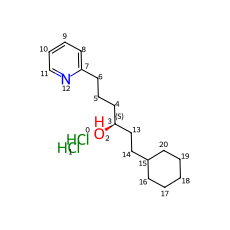 Cl.Cl.O[C@@H](CCCc1ccccn1)CCC1CCCCC1